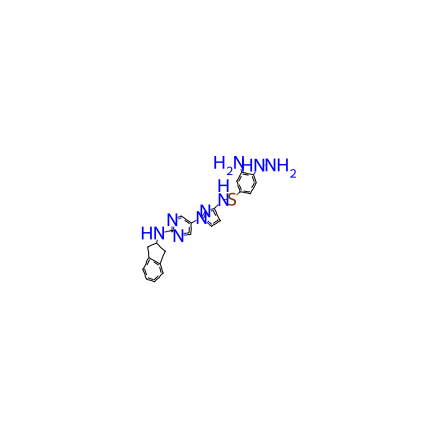 NNc1ccc(SNc2ccn(-c3cnc(NC4Cc5ccccc5C4)nc3)n2)cc1N